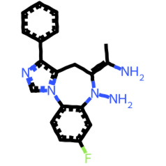 C/C(N)=C1\Cc2c(-c3ccccc3)ncn2-c2ccc(F)cc2N1N